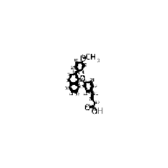 COc1ccc(-c2ccc3ccccc3c2Oc2ccc(C=CCC(=O)O)cc2)cc1